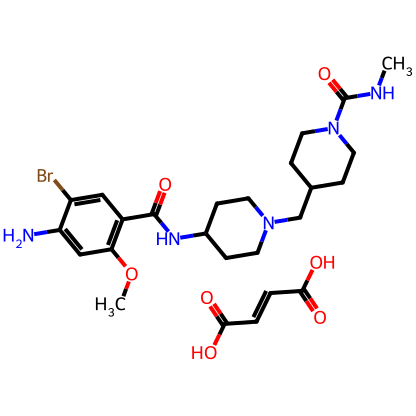 CNC(=O)N1CCC(CN2CCC(NC(=O)c3cc(Br)c(N)cc3OC)CC2)CC1.O=C(O)C=CC(=O)O